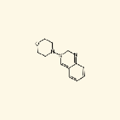 C1=c2ccccc2=NCN1N1CCOCC1